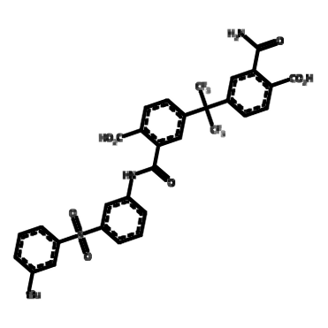 CC(C)(C)c1cccc(S(=O)(=O)c2cccc(NC(=O)c3cc(C(c4ccc(C(=O)O)c(C(N)=O)c4)(C(F)(F)F)C(F)(F)F)ccc3C(=O)O)c2)c1